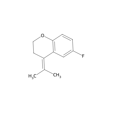 CC(C)=C1CCOc2ccc(F)cc21